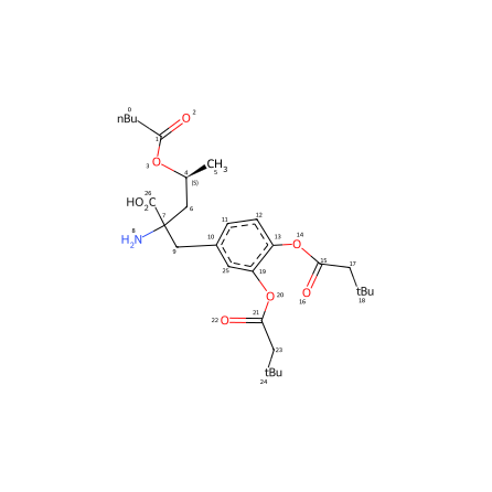 CCCCC(=O)O[C@@H](C)CC(N)(Cc1ccc(OC(=O)CC(C)(C)C)c(OC(=O)CC(C)(C)C)c1)C(=O)O